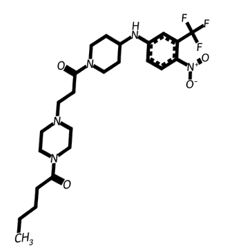 CCCCC(=O)N1CCN(CCC(=O)N2CCC(Nc3ccc([N+](=O)[O-])c(C(F)(F)F)c3)CC2)CC1